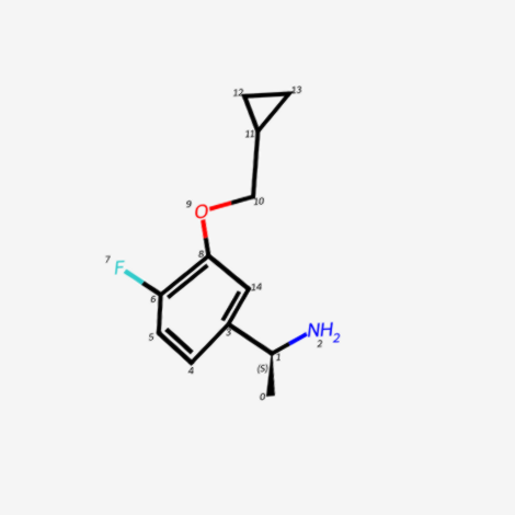 C[C@H](N)c1ccc(F)c(OCC2CC2)c1